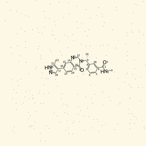 CNC(=O)c1cccc([C@@H](C)n2cnc3cc(-c4cn[nH]c4C)ccc3c2=O)c1